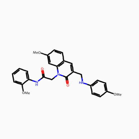 COc1ccc(NCc2cc3ccc(OC)cc3n(CC(=O)Nc3ccccc3OC)c2=O)cc1